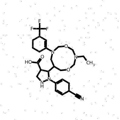 CCN1COCC(C2C(C(=O)O)CNN2C2=CCC(C#N)C=C2)CN(C2=CC(C(F)(F)F)CCC2)COC1